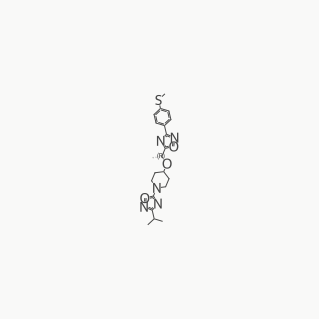 CSc1ccc(-c2noc([C@@H](C)OC3CCN(c4nc(C(C)C)no4)CC3)n2)cc1